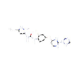 Cn1nc(C(C)(C)C)cc1NC(=O)Nc1ccc(Oc2ccnc(-n3cncn3)n2)cc1F